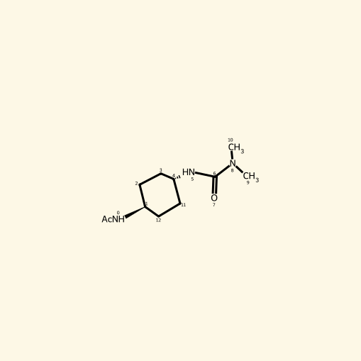 CC(=O)N[C@H]1CC[C@H](NC(=O)N(C)C)CC1